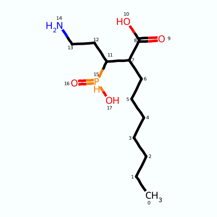 CCCCCCCC(C(=O)O)C(CCN)[PH](=O)O